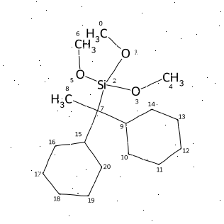 CO[Si](OC)(OC)C(C)(C1CCCCC1)C1CCCCC1